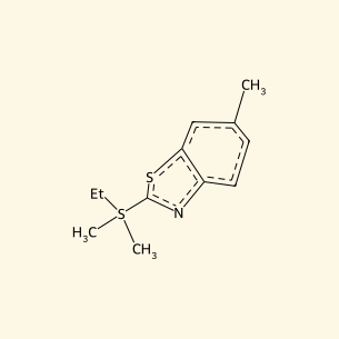 CCS(C)(C)c1nc2ccc(C)cc2s1